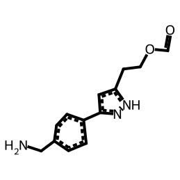 NCc1ccc(-c2cc(CCOC=O)[nH]n2)cc1